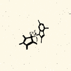 CC[C]1([Zr]([F])([F])[CH]2C(C)=Cc3c(C)cc(C)cc32)C(C)=C(C)C(C)=C1C